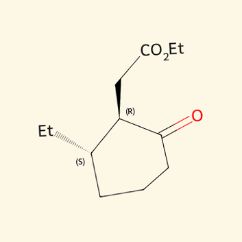 CCOC(=O)C[C@H]1C(=O)CCC[C@@H]1CC